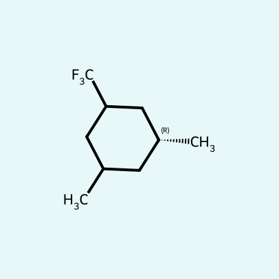 CC1CC(C(F)(F)F)C[C@H](C)C1